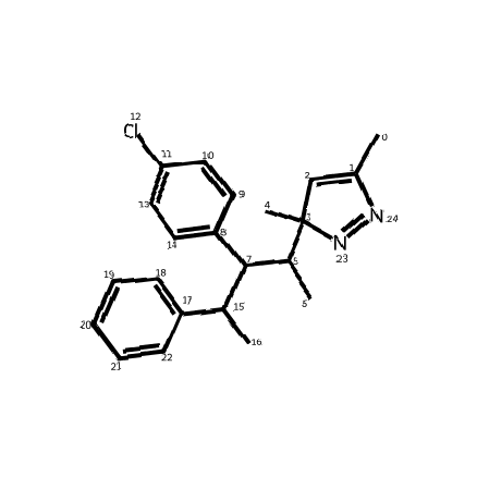 CC1=CC(C)(C(C)C(c2ccc(Cl)cc2)C(C)c2ccccc2)N=N1